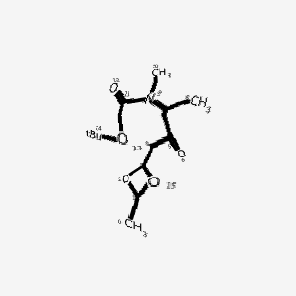 CC1OC(CC(=O)C(C)N(C)C(=O)OC(C)(C)C)O1